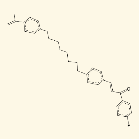 C=C(C)c1ccc(CCCCCCCCc2ccc(/C=C/C(=O)c3ccc(F)cc3)cc2)cc1